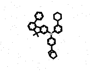 CC1(C)c2cc(N(c3ccc(C4CC5CCC4C5)cc3)c3cccc(C4CCCCC4)c3)ccc2-c2c(-c3ccccc3)cccc21